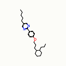 CCCCCc1cnc(-c2ccc(OCCCC3CCCCC3CCC)cc2)nc1